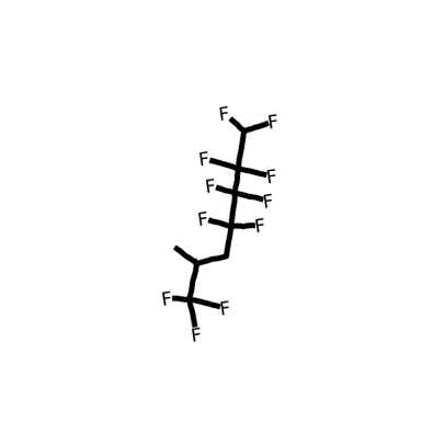 C[C](CC(F)(F)C(F)(F)C(F)(F)C(F)F)C(F)(F)F